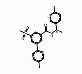 Cc1ccc(-c2cc(C(=O)N[C@H](C)c3ccc(C)nc3)cc(S(C)(=O)=O)c2)nc1